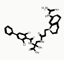 N=C(N)Nc1ccc2c(c1)N(CCC(=O)NCC(O)(NC(=O)c1c(Cl)cc(-c3ccccc3)cc1Cl)C(=O)O)CCC2